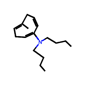 CCCCN(CCCC)C1=C/C/C=C(\C)C/C=C\1